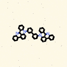 c1cc(-c2cccc(N3c4ccccc4-c4nc5ccccc5c5cccc3c45)c2)cc(N2c3ccccc3-c3nc4ccccc4c4cccc2c34)c1